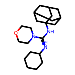 C1CCC(/N=C(/NC23CC4CC(CC(C4)C2)C3)N2CCOCC2)CC1